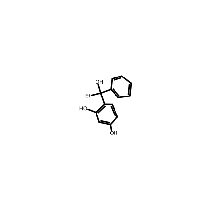 CCC(O)(c1ccccc1)c1ccc(O)cc1O